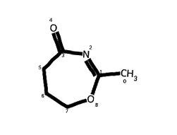 CC1=NC(=O)CCCO1